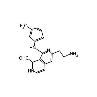 NCCc1cc2c(c(Nc3cccc(C(F)(F)F)c3)n1)C(C=O)NC=C2